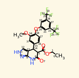 CCOC(=O)C1C(=O)Nc2n[nH]cc2C1c1ccc(Oc2cc(C(F)(F)F)cc(C(F)(F)F)c2)c(OC)c1